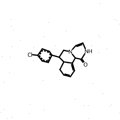 O=C1NC=CN2CC(c3ccc(Cl)cc3)C3CC=CC=C3C12